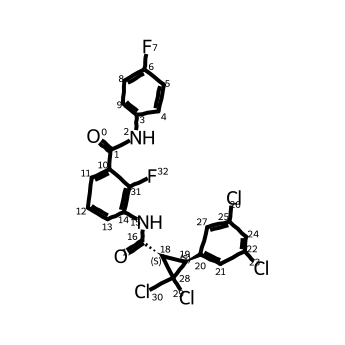 O=C(Nc1ccc(F)cc1)c1cccc(NC(=O)[C@@H]2[C@@H](c3cc(Cl)cc(Cl)c3)C2(Cl)Cl)c1F